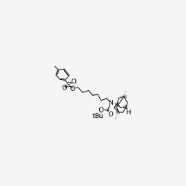 Cc1ccc(S(=O)(=O)OCCCCCCCN(C(=O)OC(C)(C)C)[C@]23C[C@@H]4C[C@@](C)(C[C@@](C)(C4)C2)C3)cc1